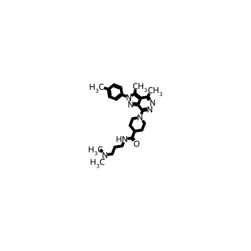 Cc1ccc(-n2nc3c(N4CCC(C(=O)NCCCN(C)C)CC4)nnc(C)c3c2C)cc1